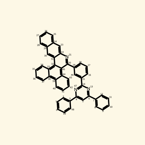 c1ccc(-c2cc(-c3ccccc3)nc(-c3cccc(-c4nc5cc6ccccc6cc5c5c6ccccc6c6ccccc6c45)c3)n2)cc1